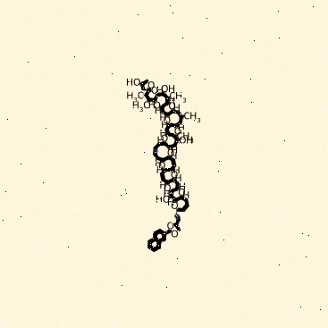 C[C@@H]1C[C@@H]2O[C@@H]3[C@@H](C)[C@H](O)[C@@H]4O[C@]5(C[C@H](O)CO5)[C@@H](C)[C@H](C)[C@H]4O[C@H]3C[C@H]2O[C@H]2C[C@H]3O[C@H]4C/C=C\C[C@H]5O[C@H]6C=C[C@H]7O[C@H]8[C@H](O)[C@H]9O[C@@H](/C=C/C%10COC(c%11ccc%12ccccc%12c%11)O%10)C=CC[C@@H]9O[C@@H]8C[C@@H]7O[C@@H]6C=C[C@@H]5O[C@@H]4C[C@@H](O)[C@]3(C)O[C@@H]2C1